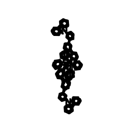 c1ccc([Si]2(c3ccccc3)N(c3cccc4c3oc3ccc(-c5cccc(-n6c7ccccc7c7ccccc76)c5)cc34)[Si](c3ccccc3)(c3ccccc3)N2c2cccc3c2oc2ccc(-c4cccc(-n5c6ccccc6c6ccccc65)c4)cc23)cc1